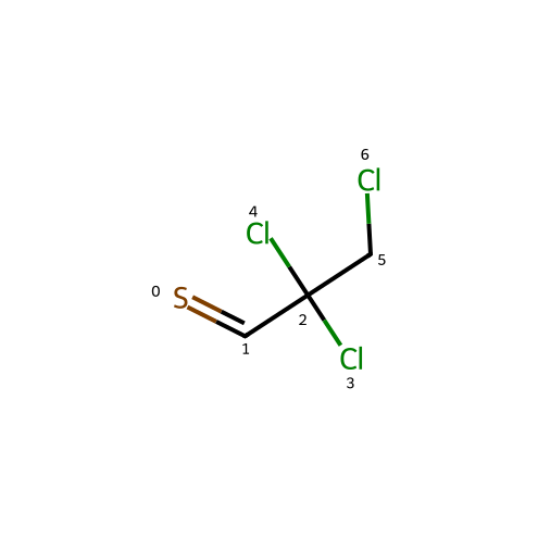 S=CC(Cl)(Cl)CCl